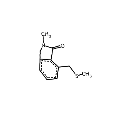 CSCc1cccc2c1C(=O)N(C)C2